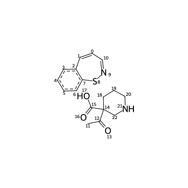 C1=Cc2ccccc2SN=C1.CC(=O)C1(C(=O)O)CCCNC1